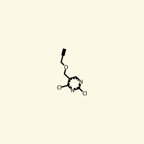 C#CCOCc1cnc(Cl)nc1Cl